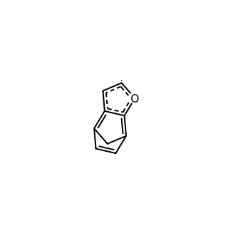 [c]1cc2c(o1)=C1C=CC=2C1